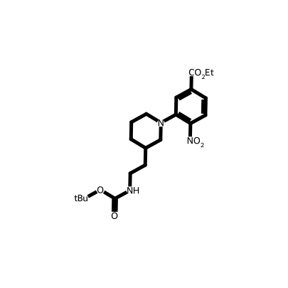 CCOC(=O)c1ccc([N+](=O)[O-])c(N2CCCC(CCNC(=O)OC(C)(C)C)C2)c1